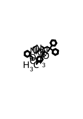 COc1ccccc1N1CCN(CCCC(CNS(=O)(=O)c2ccc(C)cc2)(c2ccccc2)c2ccccc2)CC1